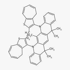 Cc1sc2c(c1N1c3ccccc3C(C)(C)c3cc4c(c(C)c31)N(c1c(C)sc3c1CC=CC=C3)c1ccccc1C4(C)C)CC=CC=C2